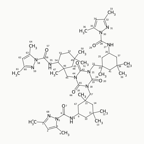 Cc1cc(C)n(C(=O)NC2CC(C)(C)CC(C)(Cn3c(=O)n(CC4(C)CC(NC(=O)n5nc(C)cc5C)CC(C)(C)C4)c(=O)n(CC4(C)CC(C)(C)CCC4NC(=O)n4nc(C)cc4C)c3=O)C2)n1